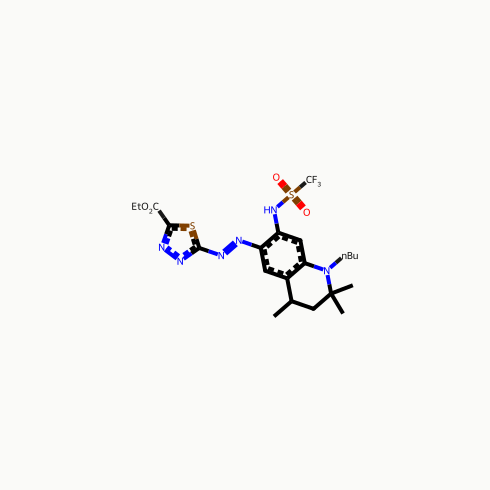 CCCCN1c2cc(NS(=O)(=O)C(F)(F)F)c(N=Nc3nnc(C(=O)OCC)s3)cc2C(C)CC1(C)C